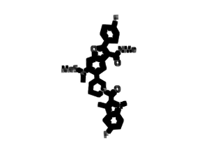 CNC(=O)c1c(-c2ccc(F)cc2)oc2cc(N(C)SC)c(C3CCCN(C(=O)c4c(C)c5cc(F)ccc5n4C)C3)cc12